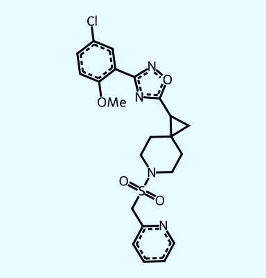 COc1ccc(Cl)cc1-c1noc(C2CC23CCN(S(=O)(=O)Cc2ccccn2)CC3)n1